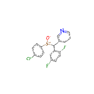 [O-][S+](c1ccc(Cl)cc1)C(c1cccnc1)c1cc(F)ccc1F